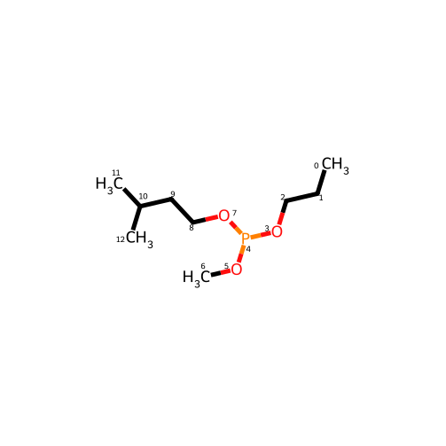 CCCOP(OC)OCCC(C)C